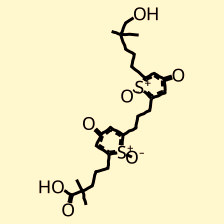 CC(C)(CO)CCCc1cc(=O)cc(CCCc2cc(=O)cc(CCCC(C)(C)C(=O)O)[s+]2[O-])[s+]1[O-]